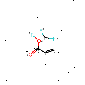 C=CC(=O)OF.FCF